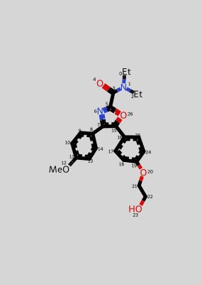 CCN(CC)C(=O)c1nc(-c2ccc(OC)cc2)c(-c2ccc(OCCO)cc2)o1